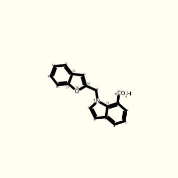 O=C(O)c1cccc2ccn(Cc3cc4ccccc4o3)c12